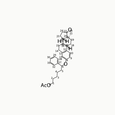 CC(=O)OCCCCCC(Oc1ccc2c(c1)CC[C@@H]1[C@@H]2CC[C@]2(C)C(=O)CC[C@@H]12)c1ccccc1